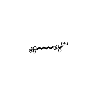 CC(C)(C)CC(=O)OOCCCCCCCCOS(C)(=O)=O